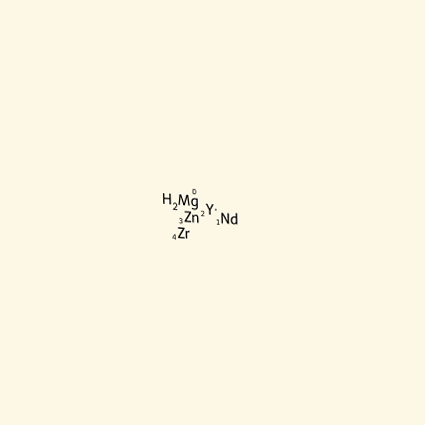 [MgH2].[Nd].[Y].[Zn].[Zr]